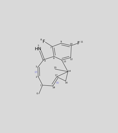 CC1/C=C\C(=N)c2c(F)cc(F)cc2C2(C)C/C2=C\1